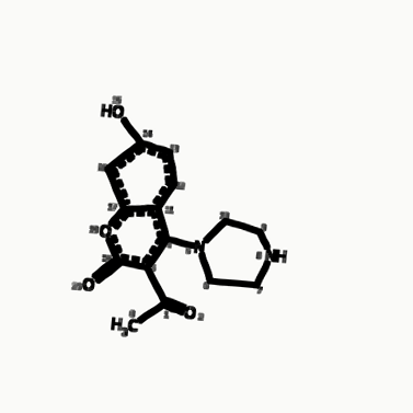 CC(=O)c1c(N2CCNCC2)c2ccc(O)cc2oc1=O